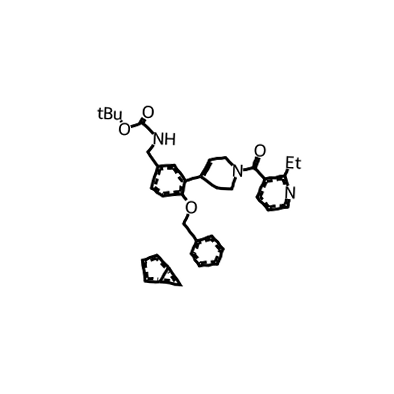 CCc1ncccc1C(=O)N1CC=C(c2cc(CNC(=O)OC(C)(C)C)ccc2OCc2ccccc2)CC1.c1cc2cc-2c1